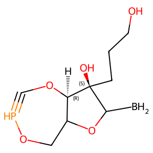 BC1OC2CO[PH]#CO[C@H]2[C@]1(O)CCCO